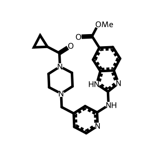 COC(=O)c1ccc2nc(Nc3cc(CN4CCN(C(=O)C5CC5)CC4)ccn3)[nH]c2c1